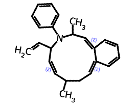 C=CC1/C=C\C(C)C/C=c2/cccc/c2=C/C(C)N1c1ccccc1